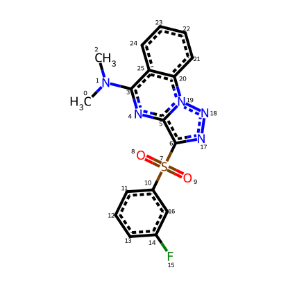 CN(C)c1nc2c(S(=O)(=O)c3cccc(F)c3)nnn2c2ccccc12